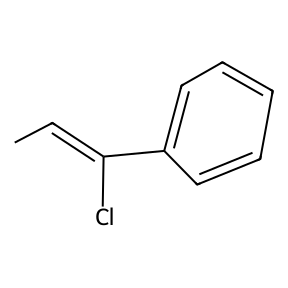 CC=C(Cl)c1ccccc1